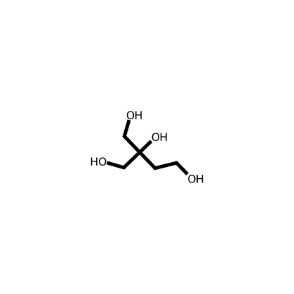 OCCC(O)(CO)CO